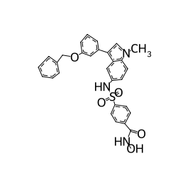 Cn1cc(-c2cccc(OCc3ccccc3)c2)c2cc(NS(=O)(=O)c3ccc(C(=O)NO)cc3)ccc21